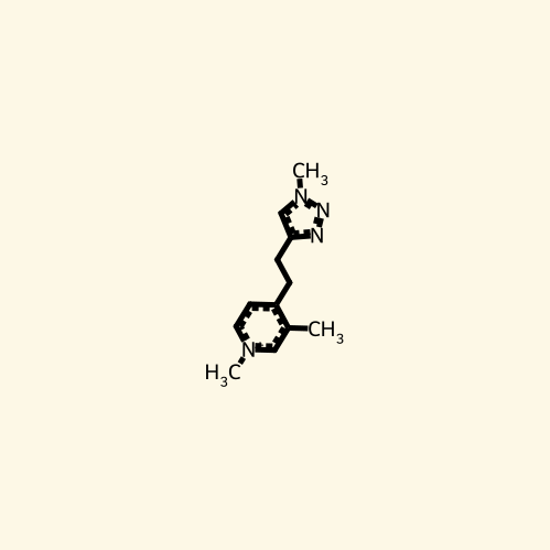 Cc1c[n+](C)ccc1CCc1cn(C)nn1